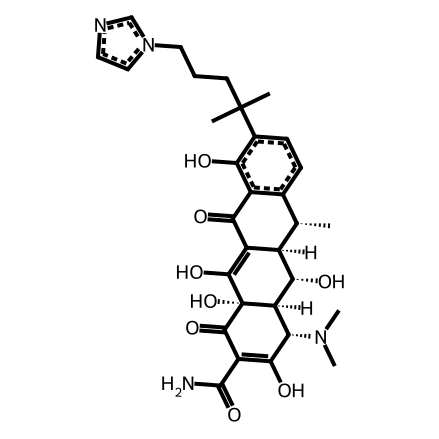 C[C@H]1c2ccc(C(C)(C)CCCn3ccnc3)c(O)c2C(=O)C2=C(O)[C@]3(O)C(=O)C(C(N)=O)=C(O)[C@@H](N(C)C)[C@@H]3[C@@H](O)[C@@H]21